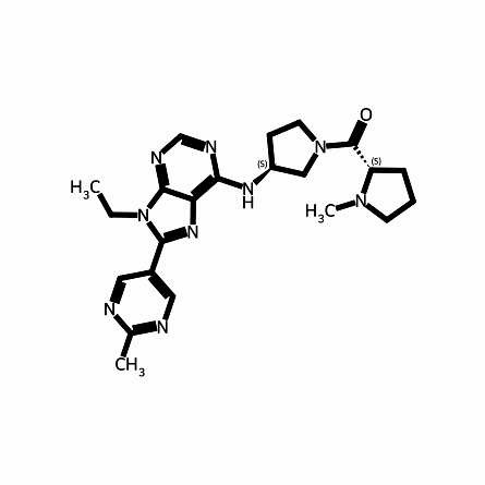 CCn1c(-c2cnc(C)nc2)nc2c(N[C@H]3CCN(C(=O)[C@@H]4CCCN4C)C3)ncnc21